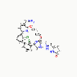 COc1nc(-c2cccc(-c3cccc(-c4cnc(CNCC5CCC(=O)N5)c(OC)n4)c3Cl)c2Cl)ccc1CN